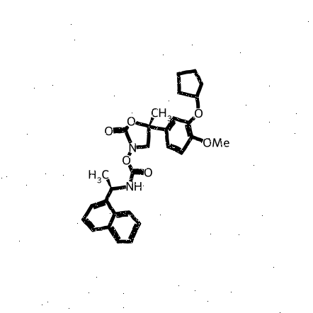 COc1ccc([C@]2(C)CN(OC(=O)N[C@H](C)c3cccc4ccccc34)C(=O)O2)cc1OC1CCCC1